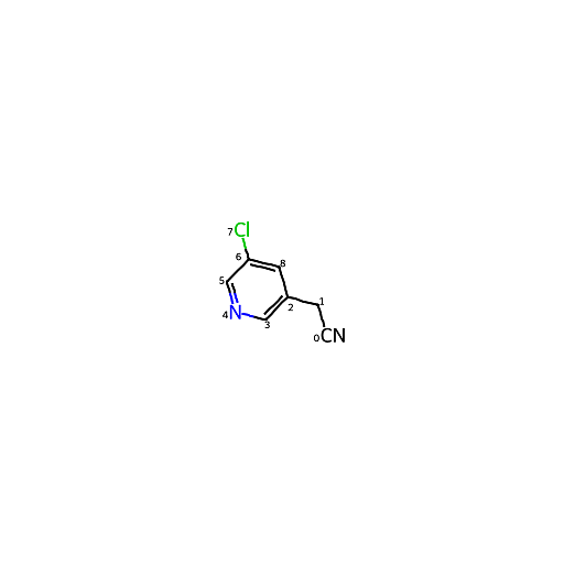 N#CCc1cncc(Cl)c1